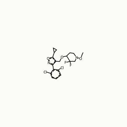 CON1CCC(OCc2c(-c3c(Cl)cccc3Cl)noc2C2CC2)C(F)(F)C1